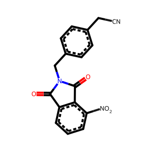 N#CCc1ccc(CN2C(=O)c3cccc([N+](=O)[O-])c3C2=O)cc1